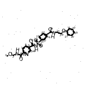 COCNC(=O)c1ccc(C(=O)NS(=O)(=O)c2ccc(C(=O)NCCOc3ccccc3)cc2)cn1